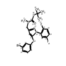 CN(Cc1cc(Sc2cccc(Br)c2)n(-c2cc(F)ccc2F)n1)C(=O)OC(C)(C)C